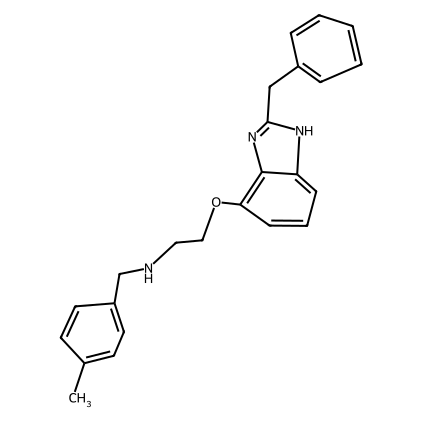 Cc1ccc(CNCCOc2cccc3[nH]c(Cc4ccccc4)nc23)cc1